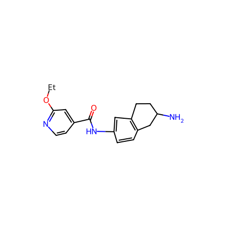 CCOc1cc(C(=O)Nc2ccc3c(c2)CCC(N)C3)ccn1